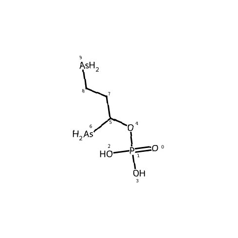 O=P(O)(O)OC([AsH2])CC[AsH2]